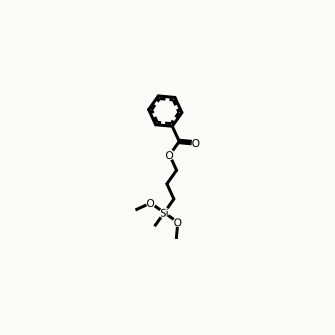 CO[Si](C)(CCCOC(=O)c1ccccc1)OC